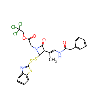 CC(=CNC(=O)Cc1ccccc1)C1C(=O)N(CC(=O)OCC(Cl)(Cl)Cl)C1SSc1nc2ccccc2s1